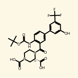 CC(C)(C)OC(=O)Nc1ccc(-c2cc(O)cc(C(F)(F)F)c2)cc1C(=O)N1CCN(C(=O)O)C[C@H]1C(=O)O